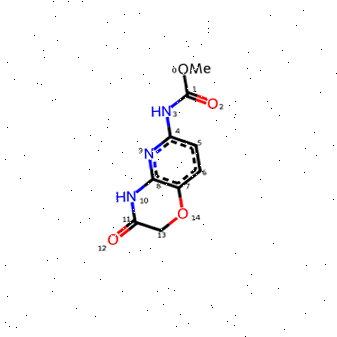 COC(=O)Nc1ccc2c(n1)NC(=O)CO2